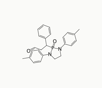 Cc1ccc(N2CCN(c3ccc(C)cc3)P2(=O)C(CC=O)c2ccccc2)cc1